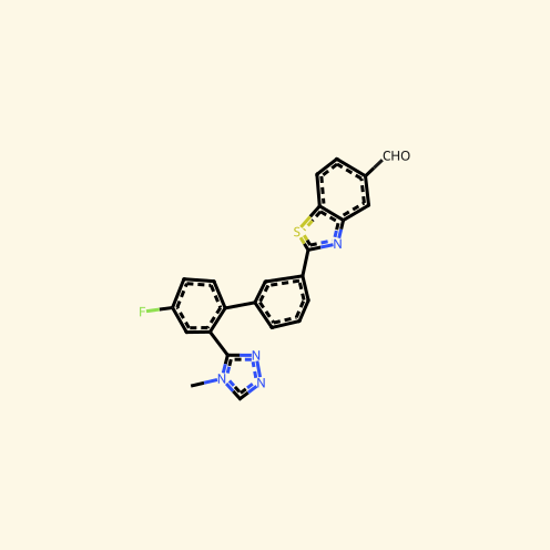 Cn1cnnc1-c1cc(F)ccc1-c1cccc(-c2nc3cc(C=O)ccc3s2)c1